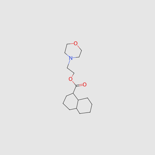 O=C(OCCN1CCOCC1)C1CCCC2CCCCC21